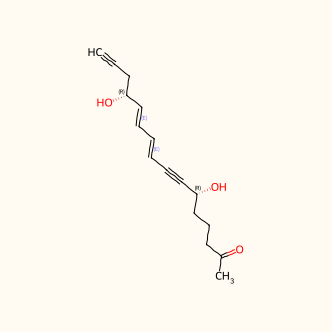 C#CC[C@@H](O)/C=C/C=C/C#C[C@H](O)CCCC(C)=O